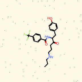 CCCNCCCC(=O)C(Cc1ccc(O)cc1)NC(=O)c1ccc(C(F)(F)F)cc1